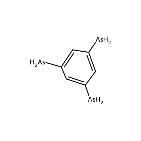 [AsH2]c1cc([AsH2])cc([AsH2])c1